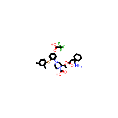 Cc1ccc(Sc2ccccc2N2CCN(C(=O)O)C(C(C)OC(=O)CC3(CN)CCCCC3)C2)c(C)c1.O=C(O)C(F)(F)F